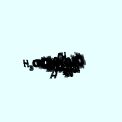 CN1CCn2nc(Nc3cc(-c4ccnc(N5CCn6c(cc7c6CCCC7)C5=O)c4CO)cn(C)c3=O)cc2C1